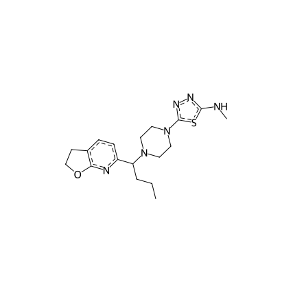 CCCC(c1ccc2c(n1)OCC2)N1CCN(c2nnc(NC)s2)CC1